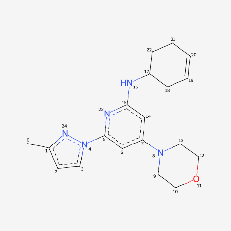 Cc1ccn(-c2cc(N3CCOCC3)cc(NC3CC=CCC3)n2)n1